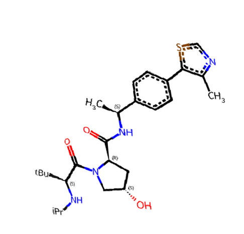 Cc1ncsc1-c1ccc([C@H](C)NC(=O)[C@H]2C[C@H](O)CN2C(=O)[C@@H](NC(C)C)C(C)(C)C)cc1